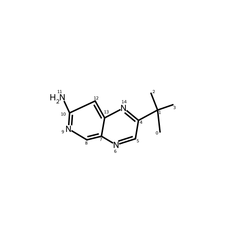 CC(C)(C)c1cnc2cnc(N)cc2n1